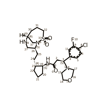 O=C(C[C@@H](c1ccc(Cl)c(F)c1)N1CCOCC1)N[C@H]1CCC[C@@H]1CC[C@H]1CN[C@@H]2CCCS(=O)(=O)N1C2